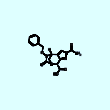 NC(=O)n1cc2c(n1)[C@@H](C(=O)O)N1C[C@@H]2N(OCc2ccccc2)C1=O